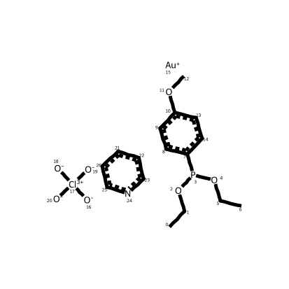 CCOP(OCC)c1ccc(OC)cc1.[Au+].[O-][Cl+3]([O-])([O-])[O-].c1ccncc1